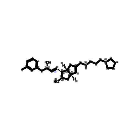 Cc1cccc(C[C@H](O)/C=C/[C@@H]2[C@H]3CC(CNCCCN4CCCC4)=C[C@H]3C[C@H]2O)c1